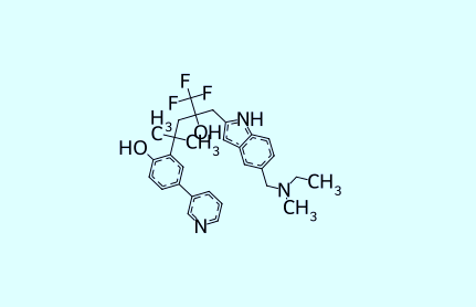 CCN(C)Cc1ccc2[nH]c(CC(O)(CC(C)(C)c3cc(-c4cccnc4)ccc3O)C(F)(F)F)cc2c1